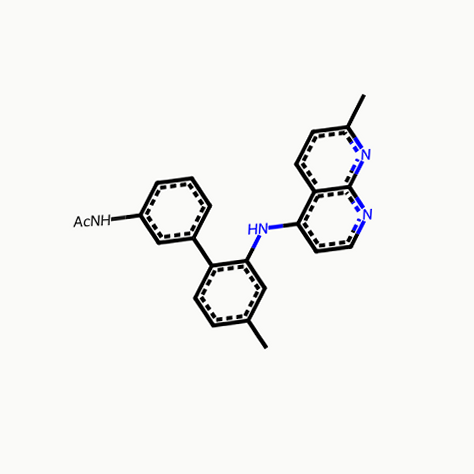 CC(=O)Nc1cccc(-c2ccc(C)cc2Nc2ccnc3nc(C)ccc23)c1